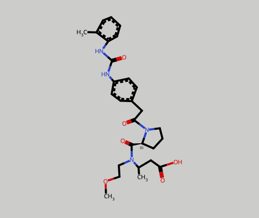 COCCN(C(=O)[C@@H]1CCCN1C(=O)Cc1ccc(NC(=O)Nc2ccccc2C)cc1)C(C)CC(=O)O